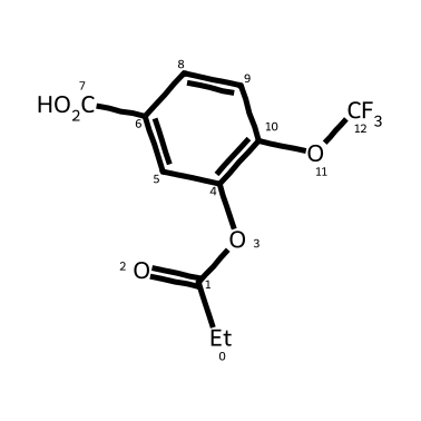 CCC(=O)Oc1cc(C(=O)O)ccc1OC(F)(F)F